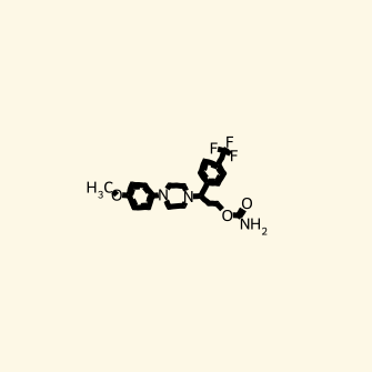 COc1ccc(N2CCN(C(CCOC(N)=O)c3ccc(C(F)(F)F)cc3)CC2)cc1